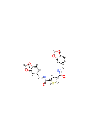 O=C(NCc1ccc2c(c1)OCO2)c1csc(C(=O)NCc2ccc3c(c2)OCO3)c1